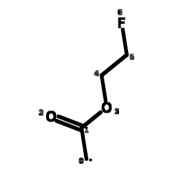 [CH2]C(=O)OCCF